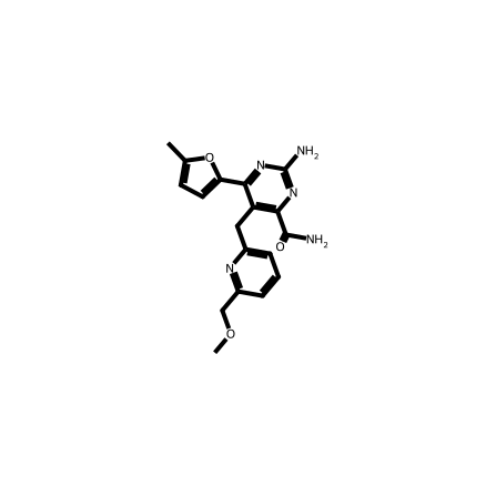 COCc1cccc(Cc2c(C(N)=O)nc(N)nc2-c2ccc(C)o2)n1